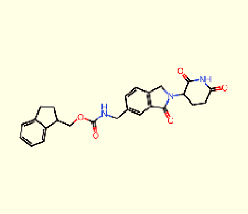 O=C1CCC(N2Cc3ccc(CNC(=O)OCC4CCc5ccccc54)cc3C2=O)C(=O)N1